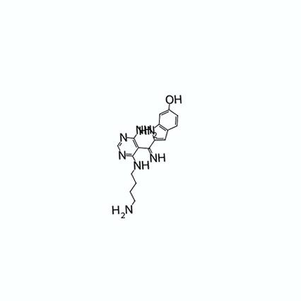 N=C(c1cc2ccc(O)cc2[nH]1)c1c(N)ncnc1NCCCCN